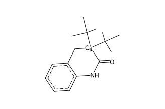 C[C](C)(C)[Ca]1([C](C)(C)C)[CH2]c2ccccc2N[C]1=O